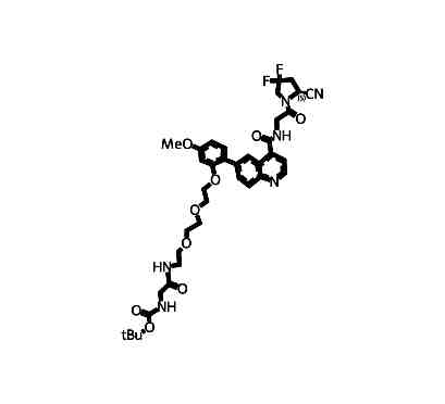 COc1ccc(-c2ccc3nccc(C(=O)NCC(=O)N4CC(F)(F)C[C@H]4C#N)c3c2)c(OCCOCCOCCNC(=O)CNC(=O)OC(C)(C)C)c1